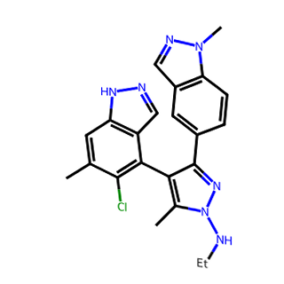 CCNn1nc(-c2ccc3c(cnn3C)c2)c(-c2c(Cl)c(C)cc3[nH]ncc23)c1C